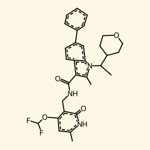 Cc1cc(OC(F)F)c(CNC(=O)c2c(C)n(C(C)C3CCOCC3)c3cc(-c4ccccc4)ccc23)c(=O)[nH]1